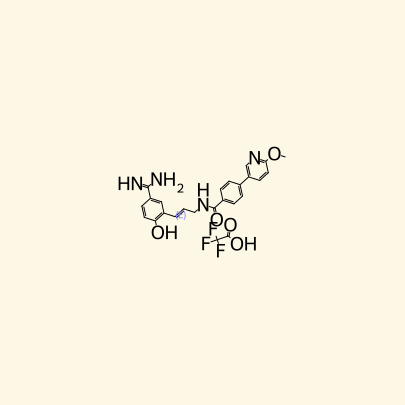 COc1ccc(-c2ccc(C(=O)NC/C=C/c3cc(C(=N)N)ccc3O)cc2)cn1.O=C(O)C(F)(F)F